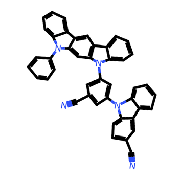 N#Cc1cc(-n2c3ccccc3c3cc(C#N)ccc32)cc(-n2c3ccccc3c3cc4c5ccccc5n(-c5ccccc5)c4cc32)c1